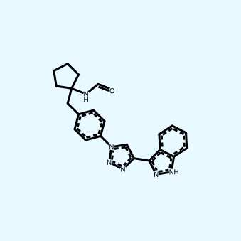 O=CNC1(Cc2ccc(-n3cc(-c4n[nH]c5ccccc45)nn3)cc2)CCCC1